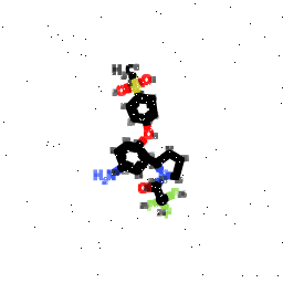 CS(=O)(=O)c1ccc(Oc2ccc(N)cc2C2CCCN2C(=O)C(F)(F)F)cc1